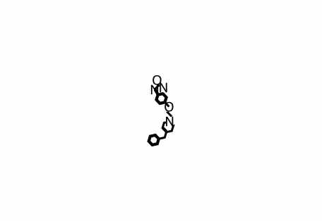 O=C1N=c2ccc(OCCN3CC=C(Cc4ccccc4)CC3)cc2=N1